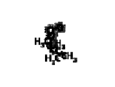 CCC(C)c1ccc(OC(C)(C)c2ccc3c(-c4ccccc4)cccc3c2)cc1